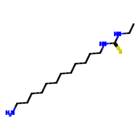 CCNC(=S)NCCCCCCCCCCCCN